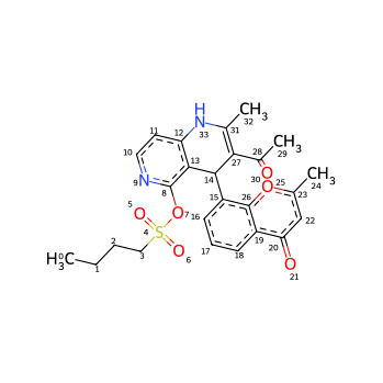 CCCCS(=O)(=O)Oc1nccc2c1C(c1cccc3c(=O)cc(C)oc13)C(C(C)=O)=C(C)N2